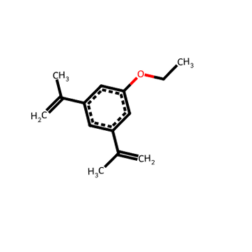 C=C(C)c1cc(OCC)cc(C(=C)C)c1